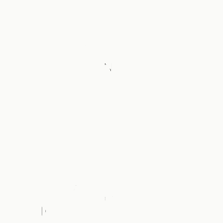 Cc1cc2ccc(C(=O)O)cc2n1CC1CCC1